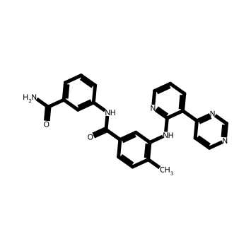 Cc1ccc(C(=O)Nc2cccc(C(N)=O)c2)cc1Nc1ncccc1-c1ccncn1